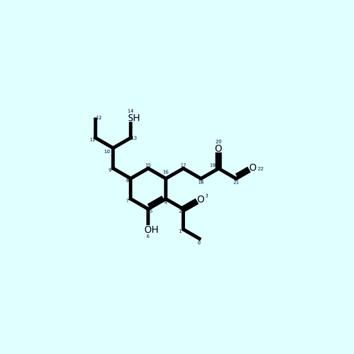 CCC(=O)C1=C(O)CC(CC(CC)CS)CC1CCC(=O)C=O